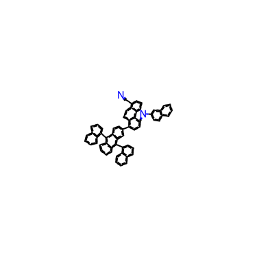 N#Cc1ccc2c3c1ccc1c(-c4ccc5c(-c6cccc7ccccc67)c6ccccc6c(-c6cccc7ccccc67)c5c4)ccc(c13)n2-c1ccc2ccccc2c1